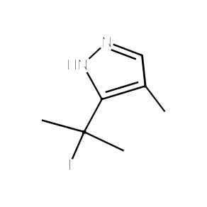 Cc1cn[nH]c1C(C)(C)I